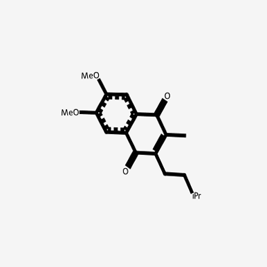 COc1cc2c(cc1OC)C(=O)C(CCC(C)C)=C(C)C2=O